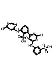 O=S(=O)(O)c1cccc(Nc2nc(Cl)nc(-c3cccc(Nc4n[c]nc(Cl)n4)c3S(=O)(=O)O)n2)c1